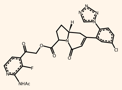 CC(=O)Nc1nccc(C(=O)COC(=O)C2CC[C@@H]3CC(c4cc(Cl)ccc4-n4cnnn4)=CC(=O)N23)c1F